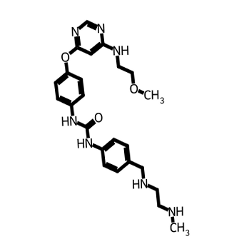 CNCCNCc1ccc(NC(=O)Nc2ccc(Oc3cc(NCCOC)ncn3)cc2)cc1